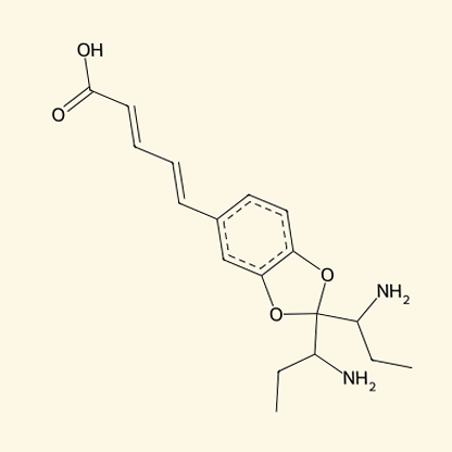 CCC(N)C1(C(N)CC)Oc2ccc(C=CC=CC(=O)O)cc2O1